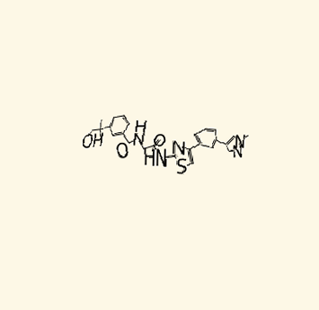 Cn1cc(-c2cccc(-c3csc(NC(=O)CNC(=O)c4cccc(C(C)(C)CO)c4)n3)c2)cn1